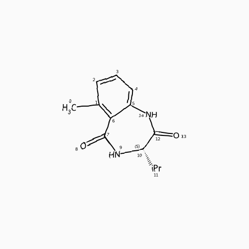 Cc1cccc2c1C(=O)N[C@@H](C(C)C)C(=O)N2